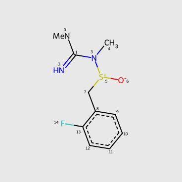 CNC(=N)N(C)[S+]([O-])Cc1ccccc1F